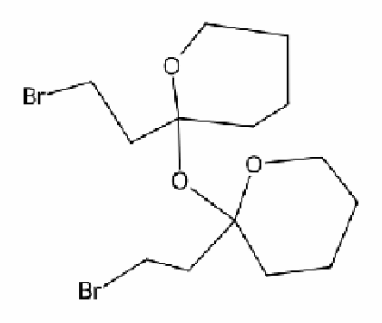 BrCCC1(OC2(CCBr)CCCCO2)CCCCO1